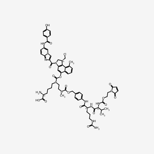 Cc1cccc2c(OC(=O)N(CCCC[C@H](N)C(=O)O)CCN(C)C(=O)OCc3ccc(NC(=O)[C@H](CCCNC(N)=O)NC(=O)[C@@H](NC(=O)OCCN4C(=O)C=CC4=O)C(C)C)cc3)cc3c(c12)[C@H](CCl)CN3C(=O)c1cn2cc(NC(=O)c3ccc(O)cc3)ccc2n1